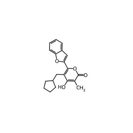 Cc1c(O)c(CC2CCCC2)c(-c2cc3ccccc3o2)oc1=O